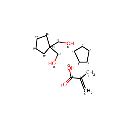 C1CCCC1.C=C(C)C(=O)O.OCC1(CO)CCCC1